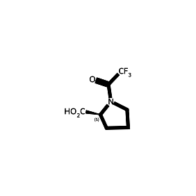 O=C(O)[C@@H]1CCCN1C(=O)C(F)(F)F